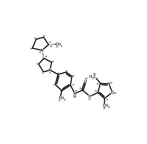 Cc1cc(N2CC[C@H](N3CCC[C@@H]3C)C2)ccc1NC(=O)Oc1c(C)noc1C